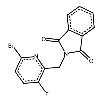 O=C1c2ccccc2C(=O)N1Cc1nc(Br)ccc1F